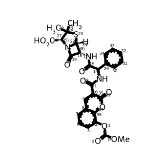 COC(=O)Oc1cccc2cc(C(=O)NC(C(=O)N[C@@H]3C(=O)N4[C@@H]3SC(C)(C)[C@@H]4C(=O)O)c3ccccc3)c(=O)oc12